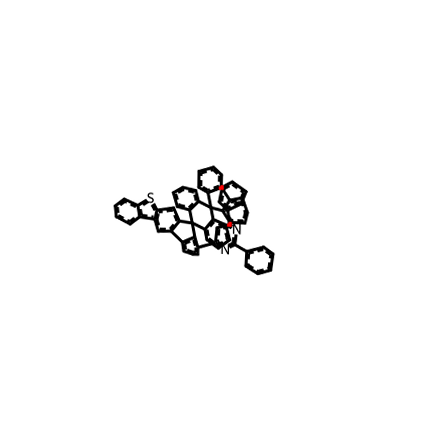 c1ccc(-c2cc(-c3cccc4c3C3(c5cc6sc7ccccc7c6cc5-4)c4ccccc4C4(c5ccccc5-c5ccccc54)c4ccccc43)nc(-c3ccccc3)n2)cc1